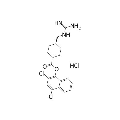 Cl.N=C(N)NC[C@H]1CC[C@H](C(=O)Oc2c(Cl)cc(Cl)c3ccccc23)CC1